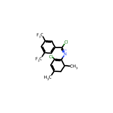 CC1=CC(Cl)=C(/N=C(/Cl)c2cc(C(F)(F)F)cc(C(F)(F)F)c2)C(C)C1